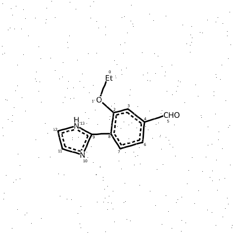 CCOc1cc(C=O)ccc1-c1ncc[nH]1